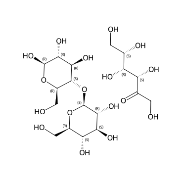 O=C(CO)[C@@H](O)[C@H](O)[C@@H](O)CO.OC[C@H]1O[C@@H](O[C@H]2[C@H](O)[C@@H](O)[C@H](O)O[C@@H]2CO)[C@H](O)[C@@H](O)[C@@H]1O